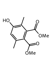 COC(=O)c1c(C)cc(O)c(C)c1C(=O)OC